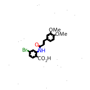 COc1ccc(/C=C/C(=O)Nc2cc(Br)ccc2C(=O)O)cc1OC